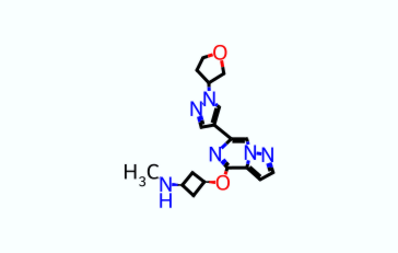 CN[C@H]1C[C@@H](Oc2nc(-c3cnn(C4CCOC4)c3)cn3nccc23)C1